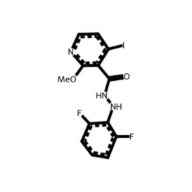 COc1nccc(I)c1C(=O)NNc1c(F)cccc1F